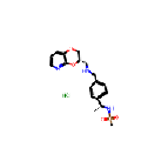 C[C@@H](NS(C)(=O)=O)c1ccc(CNC[C@H]2COc3cccnc3O2)cc1.Cl